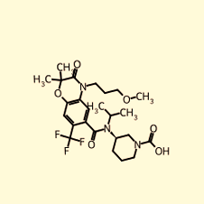 COCCCN1C(=O)C(C)(C)Oc2cc(C(F)(F)F)c(C(=O)N(C(C)C)[C@@H]3CCCN(C(=O)O)C3)cc21